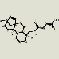 C[C@]12C=C[C@@]3(CCC4[C@@](C)(COC(=O)CCC(=O)O)CCC[C@@]4(C)C3CC1)C2